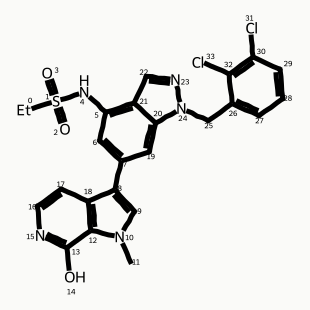 CCS(=O)(=O)Nc1cc(-c2cn(C)c3c(O)nccc23)cc2c1cnn2Cc1cccc(Cl)c1Cl